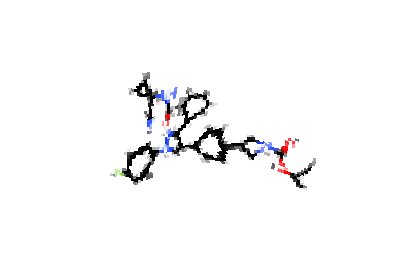 CC(C)OC(=O)N1CC(c2ccc(-c3cn(-c4ccc(F)cc4)nc3C3CCCC[C@H]3C(=O)NC3(C#N)CC3)cc2)C1